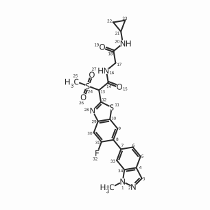 Cn1ncc2ccc(-c3cc4sc(C(C(=O)NCC(=O)NC5CC5)S(C)(=O)=O)nc4cc3F)cc21